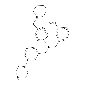 COc1cccc(CN(Cc2cccc(N3CCOCC3)c2)c2ccc(CN3CCCCC3)cc2)c1